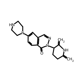 C=C1CCC(n2ncc3cc(N4CCNCC4)ccc3c2=O)C(=C)N1